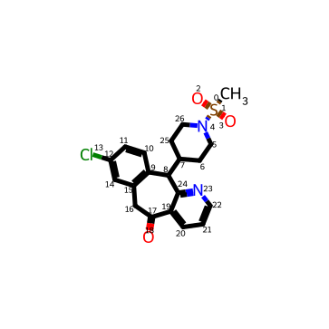 CS(=O)(=O)N1CCC(C2c3ccc(Cl)cc3CC(=O)c3cccnc32)CC1